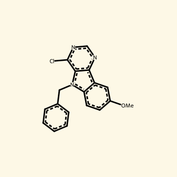 COc1ccc2c(c1)c1ncnc(Cl)c1n2Cc1ccccc1